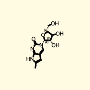 Cc1cc2cn([C@@H]3O[C@H](CO)C(O)[C@@H]3O)c(=O)nc2[nH]1